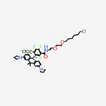 CC1(C)c2cc(N3CCC3)ccc2[C+](c2c(F)c(C(=O)NCCOCCOCCCCCCCl)c(F)c(F)c2C(=O)[O-])c2ccc(N3CCC3)cc21